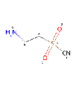 N#CS(=O)(=O)CCN